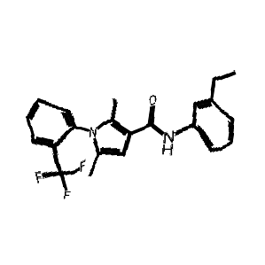 CCc1cccc(NC(=O)c2cc(C)n(-c3ccccc3C(F)(F)F)c2C)c1